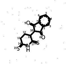 O=C1c2ccccc2C(=O)C1C1CCC(=S)NC1=S